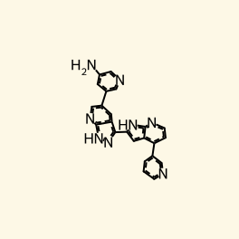 Nc1cncc(-c2cnc3[nH]nc(-c4cc5c(-c6cccnc6)ccnc5[nH]4)c3c2)c1